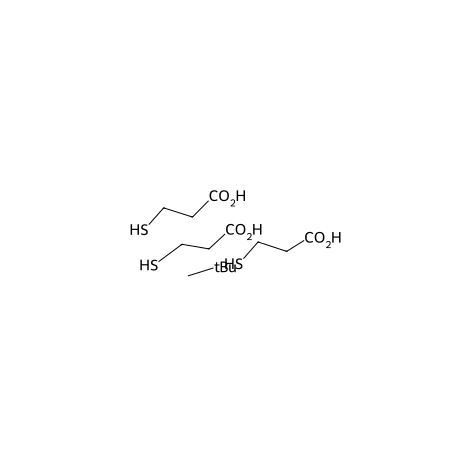 CC(C)(C)C.O=C(O)CCS.O=C(O)CCS.O=C(O)CCS